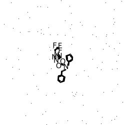 O=C(Oc1nnn(CC(F)(F)F)n1)N(CCc1ccccc1)Cc1ccccc1